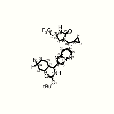 CC(C)(C)OC(=O)N[C@H](c1cn2ncc([C@@H](C3CC3)N3C[C@H](CC(F)(F)F)NC3=O)cc2n1)C1CCC(F)(F)CC1